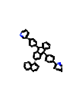 c1ccc(-c2ccc(-c3c4ccccc4c(-c4ccc(-c5cccnc5)cc4)c4ccc(-c5cccc6ccccc56)cc34)cc2)nc1